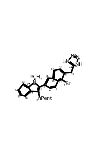 CCCCCc1c(-c2ccc3c(Br)c([CH]c4nnn[nH]4)ccc3c2)n(C)c2ccccc12